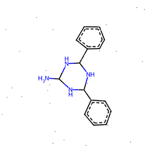 NC1NC(c2ccccc2)NC(c2ccccc2)N1